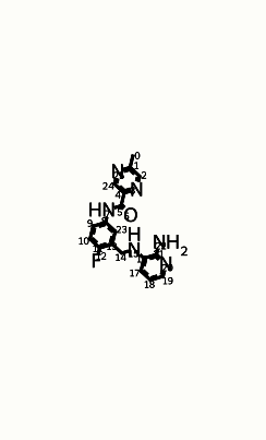 Cc1cnc(C(=O)Nc2ccc(F)c(CNc3cccnc3N)c2)cn1